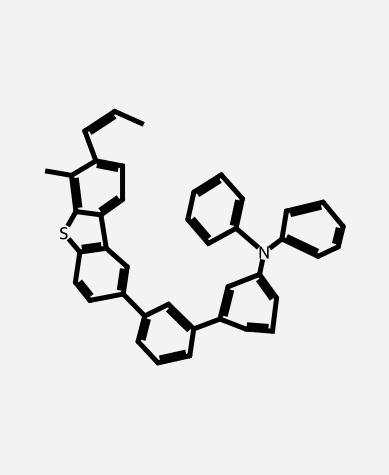 C/C=C\c1ccc2c(sc3ccc(-c4cccc(-c5cccc(N(c6ccccc6)c6ccccc6)c5)c4)cc32)c1C